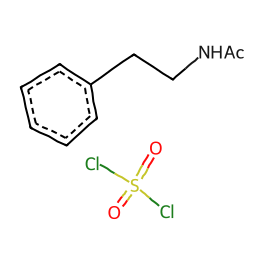 CC(=O)NCCc1ccccc1.O=S(=O)(Cl)Cl